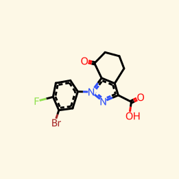 O=C(O)c1nn(-c2ccc(F)c(Br)c2)c2c1CCCC2=O